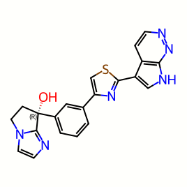 O[C@@]1(c2cccc(-c3csc(-c4c[nH]c5nnccc45)n3)c2)CCn2ccnc21